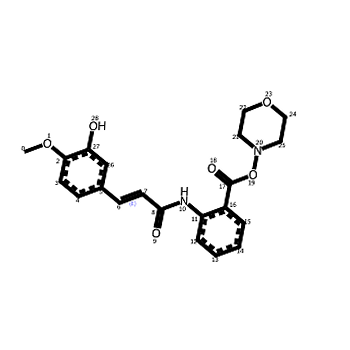 COc1ccc(/C=C/C(=O)Nc2ccccc2C(=O)ON2CCOCC2)cc1O